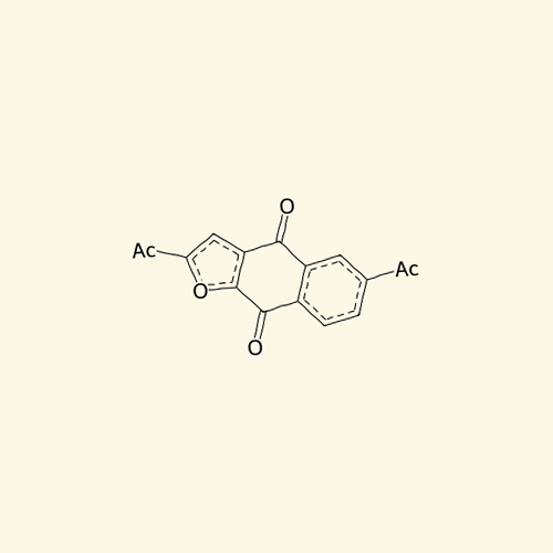 CC(=O)c1ccc2c(c1)C(=O)c1cc(C(C)=O)oc1C2=O